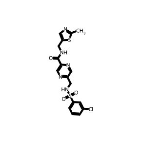 Cc1ncc(CNC(=O)c2cnc(CNS(=O)(=O)c3cccc(Cl)c3)cn2)s1